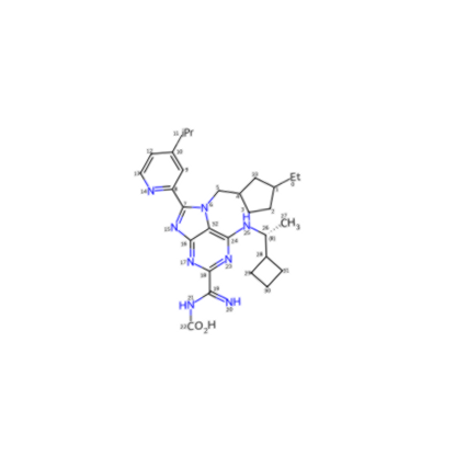 CCC1CCC(Cn2c(-c3cc(C(C)C)ccn3)nc3nc(C(=N)NC(=O)O)nc(N[C@H](C)C4CCC4)c32)C1